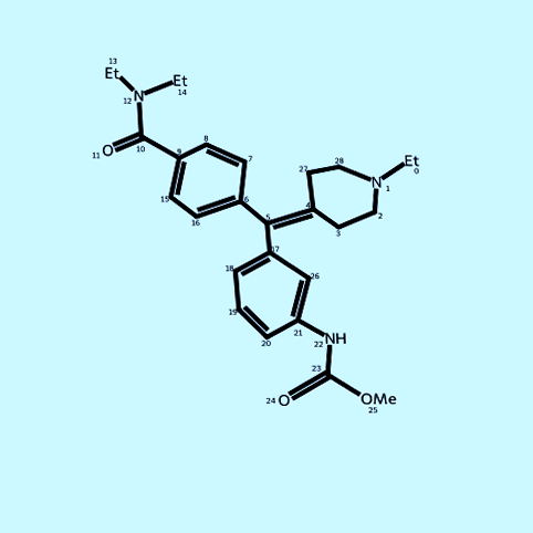 CCN1CCC(=C(c2ccc(C(=O)N(CC)CC)cc2)c2cccc(NC(=O)OC)c2)CC1